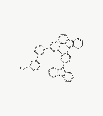 Cc1cccc(-c2cccc(-c3cccc(-c4cc(-n5c6ccccc6c6ccccc65)ccc4-n4c5c(c6ccccc64)C=CCC5)c3)c2)c1